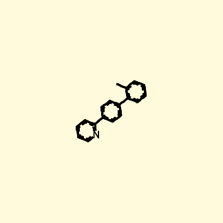 Cc1ccccc1-c1ccc(-c2ccccn2)cc1